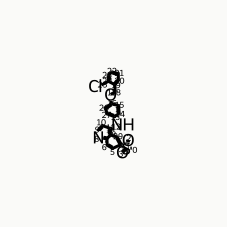 CS(=O)(=O)c1ccc2nccc(Nc3ccc(OCc4ccccc4Cl)cc3)c2c1